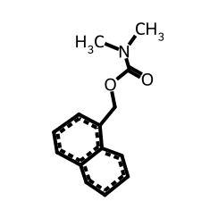 CN(C)C(=O)OCc1cccc2ccccc12